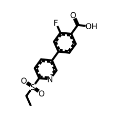 CCS(=O)(=O)c1ccc(-c2ccc(C(=O)O)c(F)c2)cn1